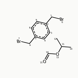 BrCc1ccc(CBr)cc1.CC(C)OC=O